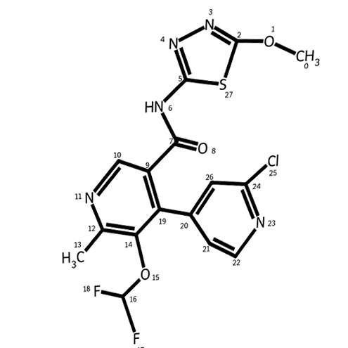 COc1nnc(NC(=O)c2cnc(C)c(OC(F)F)c2-c2ccnc(Cl)c2)s1